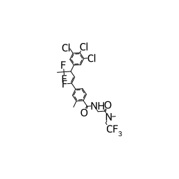 Cc1cc(/C(F)=C/C(c2cc(Cl)c(Cl)c(Cl)c2)C(C)(F)F)ccc1C(=O)NCC(=O)N(C)CC(F)(F)F